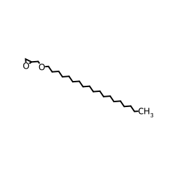 CCCCCCCCCCCCCCCCCCCOCC1CO1